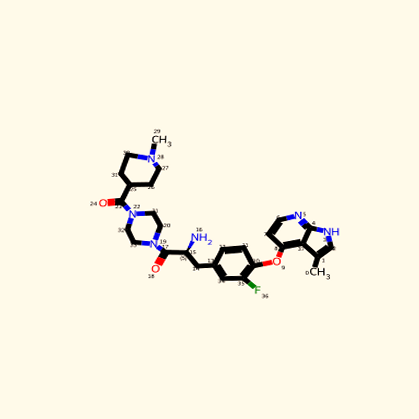 Cc1c[nH]c2nccc(Oc3ccc(C[C@H](N)C(=O)N4CCN(C(=O)C5CCN(C)CC5)CC4)cc3F)c12